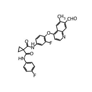 Cc1cc2c(Oc3ccc(NC(=O)C4(C(=O)Nc5ccc(F)cc5)CC4)cc3F)ccnc2cc1C=O